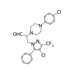 O=CC(Cn1nc(C(F)(F)F)c(Cl)c1-c1ccccc1)N1CCN(c2ccc(Cl)cc2)CC1